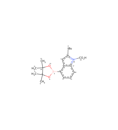 CC(C)(C)c1cc2c(B3OC(C)(C)C(C)(C)O3)cccc2n1C(=O)O